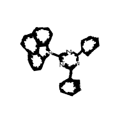 c1ccc(-c2nc(-c3ccccc3)nc(-n3c4cccc5ccc6cccc3c6c54)n2)cc1